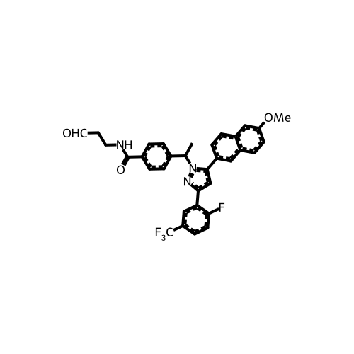 COc1ccc2cc(-c3cc(-c4cc(C(F)(F)F)ccc4F)nn3C(C)c3ccc(C(=O)NCCC=O)cc3)ccc2c1